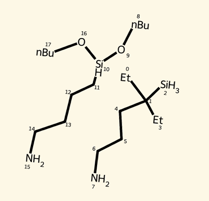 CCC([SiH3])(CC)CCCN.CCCCO[SiH](CCCCN)OCCCC